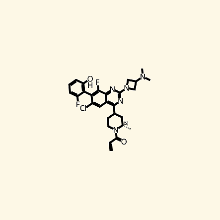 C=CC(=O)N1CCC(c2nc(N3CC(N(C)C)C3)nc3c(F)c(-c4c(O)cccc4F)c(Cl)cc23)C[C@@H]1C